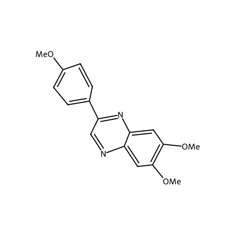 COc1ccc(-c2cnc3cc(OC)c(OC)cc3n2)cc1